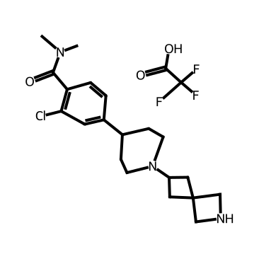 CN(C)C(=O)c1ccc(C2CCN(C3CC4(CNC4)C3)CC2)cc1Cl.O=C(O)C(F)(F)F